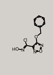 O/N=C(\Cl)c1nonc1OCc1ccccc1